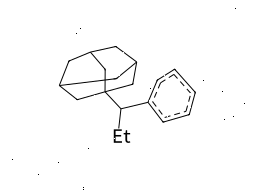 [CH2]CC(c1ccccc1)C12CC3CC(CC(C3)C1)C2